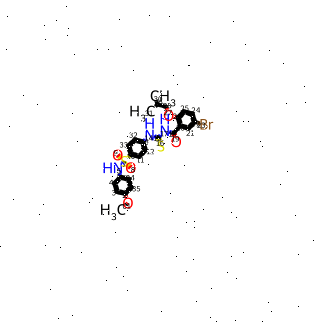 COc1ccc(NS(=O)(=O)c2ccc(NC(=S)NC(=O)c3cc(Br)ccc3OCC(C)C)cc2)cc1